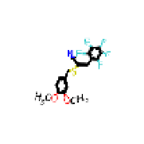 COc1ccc(CSC(C#N)=Cc2c(F)c(F)c(F)c(F)c2F)cc1OC